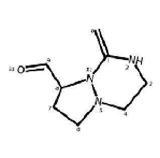 C=C1NCCN2CCC(C=O)N12